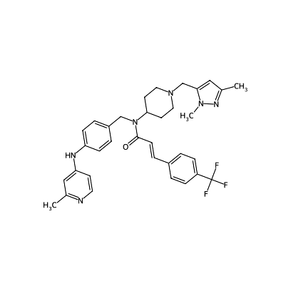 Cc1cc(Nc2ccc(CN(C(=O)C=Cc3ccc(C(F)(F)F)cc3)C3CCN(Cc4cc(C)nn4C)CC3)cc2)ccn1